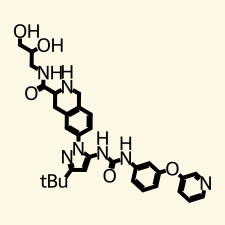 CC(C)(C)c1cc(NC(=O)Nc2cccc(Oc3cccnc3)c2)n(-c2ccc3c(c2)CC(C(=O)NCC(O)CO)NC3)n1